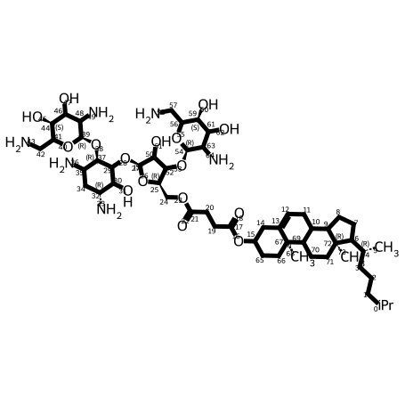 CC(C)CCC[C@@H](C)C1CCC2C3CC=C4CC(OC(=O)CCC(=O)OC[C@H]5O[C@@H](OC6C(O)[C@H](N)CC(N)[C@H]6O[C@H]6OC(CN)[C@@H](O)C(O)C6N)C(O)C5O[C@H]5OC(CN)[C@@H](O)C(O)C5N)CC[C@]4(C)C3CC[C@@]21C